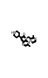 Cc1cnc2cc(C3CCNCC3)c(=O)n(Cc3nccnc3C)c2n1